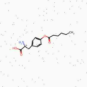 CCCCCC(=O)Oc1ccc(C[C@H](N)C(=O)O)cc1